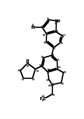 CCc1c[nH]c2ncc(-c3cc4c(c(C5CCCN5)c3)CN(CC(F)(F)F)CC4)cc12